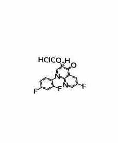 Cl.O=C(O)c1cn(-c2ccc(F)cc2F)c2ncc(F)cc2c1=O